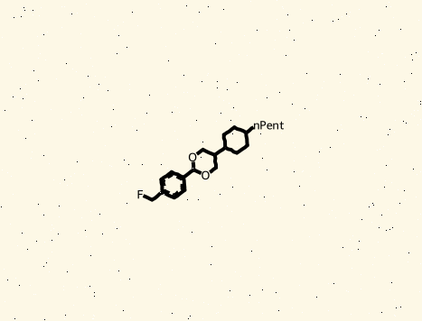 CCCCCC1CCC(C2COC(c3ccc(CF)cc3)OC2)CC1